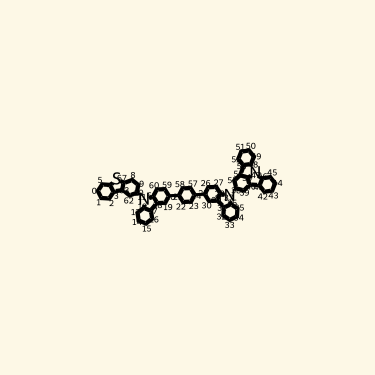 c1ccc2c(c1)sc1ccc(-n3c4ccccc4c4cc(-c5ccc(-c6ccc7c(c6)c6ccccc6n7-c6cc7c8ccccc8n8c9ccccc9c(c6)c78)cc5)ccc43)cc12